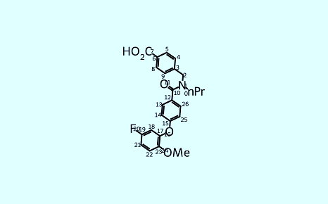 CCCN(Cc1ccc(C(=O)O)cc1)C(=O)c1ccc(Oc2cc(F)ccc2OC)cc1